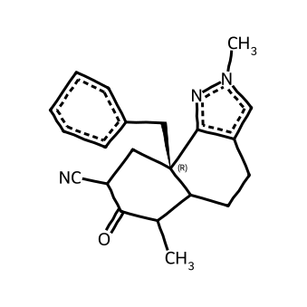 CC1C(=O)C(C#N)C[C@]2(Cc3ccccc3)c3nn(C)cc3CCC12